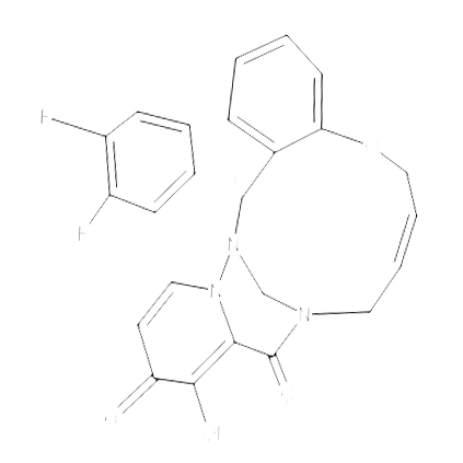 O=C1c2c(O)c(=O)ccn2N2CN1C/C=C\COc1ccccc1[C@H]2c1ccc(F)c(F)c1